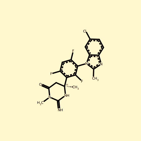 Cc1nc2ccc(Cl)cc2n1-c1c(F)cc(F)c([C@]2(C)CC(=O)N(C)C(=N)N2)c1F